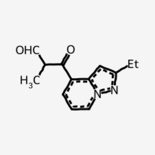 CCc1cc2c(C(=O)C(C)C=O)cccn2n1